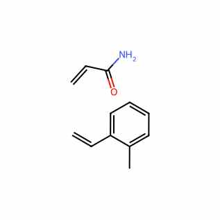 C=CC(N)=O.C=Cc1ccccc1C